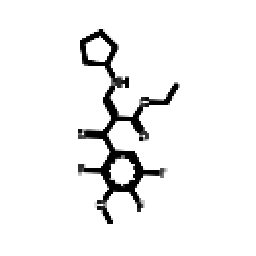 CCOC(=O)C(=CNC1CCCC1)C(=O)c1cc(F)c(F)c(OC)c1F